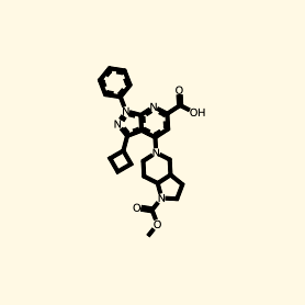 COC(=O)N1CCC2CN(c3cc(C(=O)O)nc4c3c(C3CCC3)nn4-c3ccccc3)CCC21